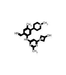 Cc1nc(Nc2cc(C3CCN(C)CC3)c(C)cc2C=N)cc(N2CC(O)C2)n1